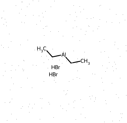 Br.Br.C[CH2][Al][CH2]C